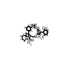 Cc1cccc(C)c1-c1cc2nc(n1)NS(=O)(=O)c1cccc(c1)C1(CC3(CCCCN3C)C1)[C@H](CC(C)C)CO2